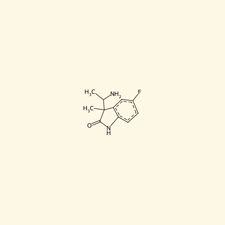 CC(N)C1(C)C(=O)Nc2ccc(F)cc21